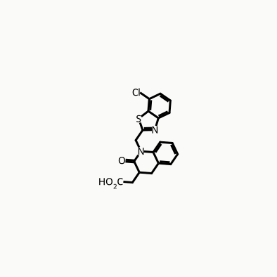 O=C(O)CC1Cc2ccccc2N(Cc2nc3cccc(Cl)c3s2)C1=O